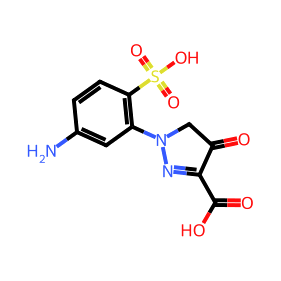 Nc1ccc(S(=O)(=O)O)c(N2CC(=O)C(C(=O)O)=N2)c1